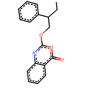 CCC(COc1nc2ccccc2c(=O)o1)c1ccccc1